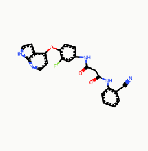 N#Cc1ccccc1NC(=O)CC(=O)Nc1ccc(Oc2ccnc3[nH]ccc23)c(F)c1